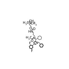 [CH2]C(=O)N(CCCNC(=O)OCC[Si](C)(C)C)[C@@H](c1cc(-c2cc(F)ccc2F)cn1Cc1ccccc1)C1CCCCC1